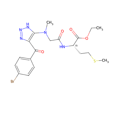 CCOC(=O)[C@H](CCSC)NC(=O)CN(C)c1[nH]nnc1C(=O)c1ccc(Br)cc1